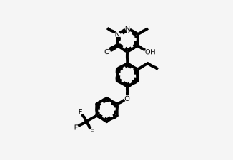 CCc1cc(Oc2ccc(C(F)(F)F)cc2)ccc1-c1c(O)c(C)nn(C)c1=O